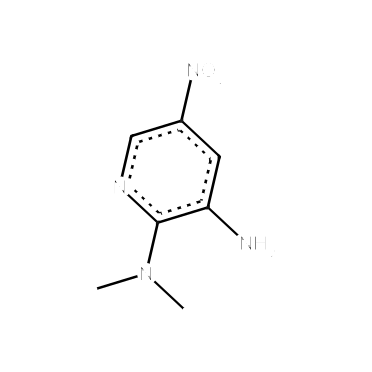 CN(C)c1ncc([N+](=O)[O-])cc1N